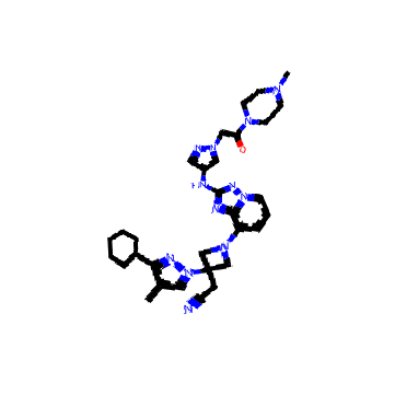 Cc1cn(C2(CC#N)CN(c3cccn4nc(Nc5cnn(CC(=O)N6CCN(C)CC6)c5)nc34)C2)nc1C1CCCCC1